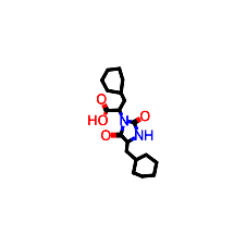 O=C(O)C(CC1CCCCC1)N1C(=O)NC(CC2CCCCC2)C1=O